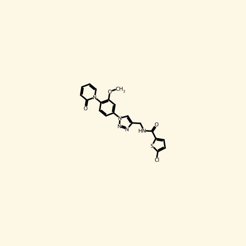 COc1cc(-n2cc(CNC(=O)c3ccc(Cl)s3)nn2)ccc1-n1ccccc1=O